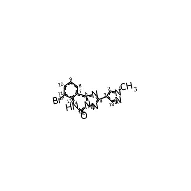 Cn1cc(-c2nc3c4cccc(Br)c4[nH]c(=O)n3n2)cn1